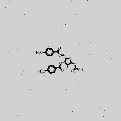 CC(=O)OC1S[C@@H](COC(=O)c2ccc(C)cc2)[C@@H](OC(=O)c2ccc(C)cc2)[C@@H]1F